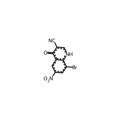 N#Cc1c[nH]c2c(Br)cc([N+](=O)[O-])cc2c1=O